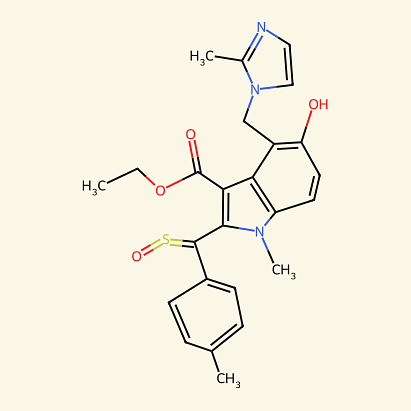 CCOC(=O)c1c(C(=S=O)c2ccc(C)cc2)n(C)c2ccc(O)c(Cn3ccnc3C)c12